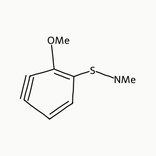 CNSc1ccc#cc1OC